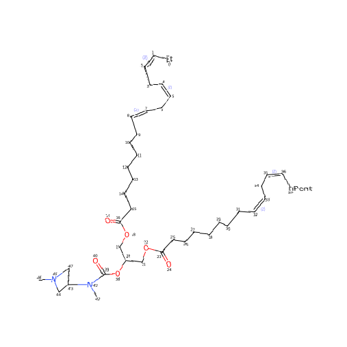 CC/C=C\C/C=C\C/C=C\CCCCCCCC(=O)OCC(COC(=O)CCCCCCC/C=C\C/C=C\CCCCC)OC(=O)N(C)C1CN(C)C1